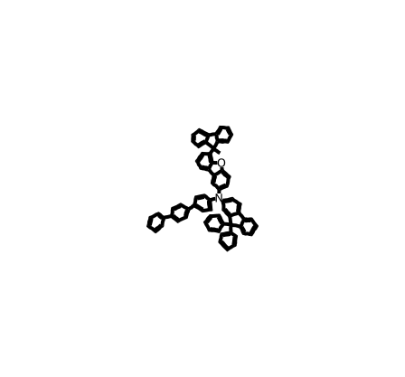 CC1(c2cccc3c2oc2ccc(N(c4ccc(-c5ccc(-c6ccccc6)cc5)cc4)c4ccc5c(c4)C(c4ccccc4)(c4ccccc4)c4ccccc4-5)cc23)c2ccccc2-c2ccccc21